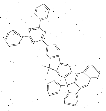 CC1(C)c2cc(-c3nc(-c4ccccc4)nc(-c4ccccc4)n3)ccc2-c2ccc(C3(c4ccccc4)c4ccccc4-c4cc5ccccc5cc43)cc21